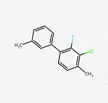 Cc1cccc(-c2ccc(C)c(Cl)c2F)c1